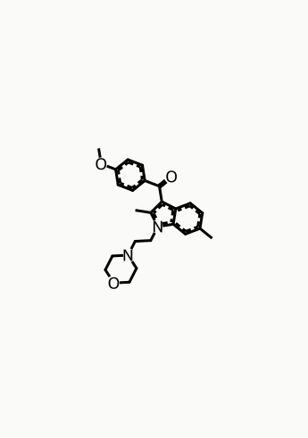 COc1ccc(C(=O)c2c(C)n(CCN3CCOCC3)c3cc(C)ccc23)cc1